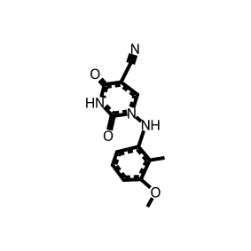 COc1cccc(Nn2cc(C#N)c(=O)[nH]c2=O)c1C